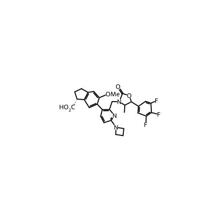 COc1cc2c(cc1-c1ccc(N3CCC3)nc1CN1C(=O)OC(c3cc(F)c(F)c(F)c3)C1C)[C@H](C(=O)O)CC2